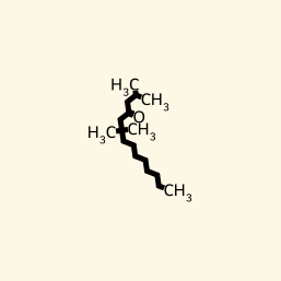 CCCCCCCCC(C)(C)CC(=O)CC(C)C